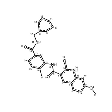 COc1ncc2cc(C(=O)Nc3cc(C(=O)NCc4ccccc4)ccc3C)c(=O)[nH]c2n1